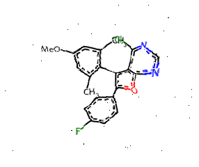 COc1cc(C)c(-c2c(-c3ccc(F)cc3)oc3ncnc(Cl)c23)c(C)c1